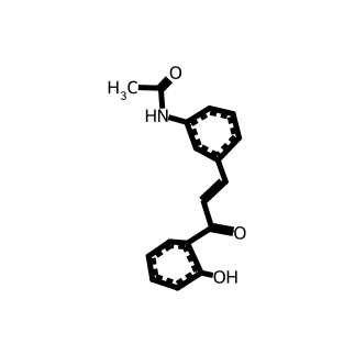 CC(=O)Nc1cccc(C=CC(=O)c2ccccc2O)c1